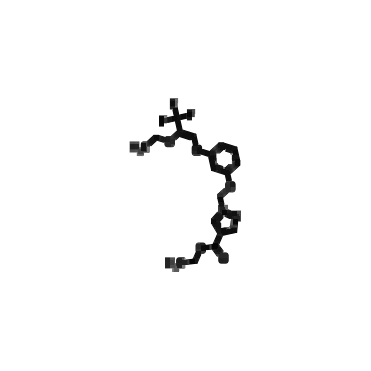 CCOC(=O)c1cnn(COc2cccc(O/C=C(\OCC)C(F)(F)F)c2)c1